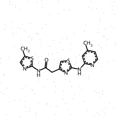 Cc1ccnc(Nc2nc(CC(=O)Nc3ncc(C)s3)cs2)c1